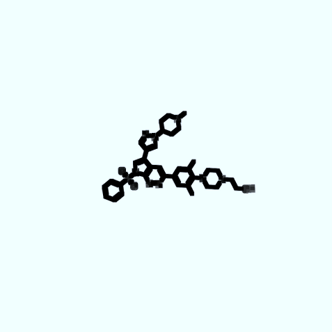 Cc1cc(-c2cc3c(-c4cnn(C5CCN(C)CC5)c4)cn(S(=O)(=O)c4ccccc4)c3nn2)cc(C)c1N1CCN(CCO)CC1